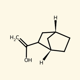 C=C(O)C1C[C@@H]2CC[C@H]1C2